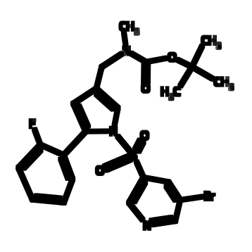 CN(Cc1cc(-c2ccccc2F)n(S(=O)(=O)c2cncc(Br)c2)c1)C(=O)OC(C)(C)C